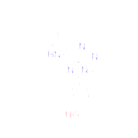 C=Nc1nccn2c(C3CCC(CO)CC3)nc(-c3cc4ccccc4[nH]3)c12